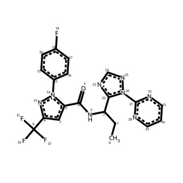 CCC(NC(=O)c1cc(C(F)(F)F)nn1-c1ccc(F)cc1)c1ncnn1-c1ncccn1